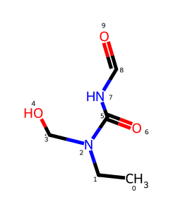 CCN([CH]O)C(=O)NC=O